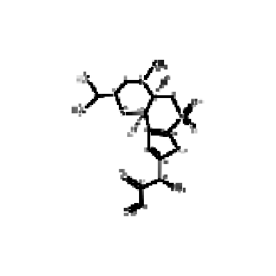 CC(C)[C@H]1CN(C)[C@H]2CS(=O)(=O)c3sc([C@@H](N)C(=O)C=O)cc3[C@H]2N1